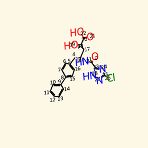 O=C(N[C@H](Cc1ccc(-c2ccccc2)cc1)C[C@@H](O)C(=O)O)c1nc(Cl)n[nH]1